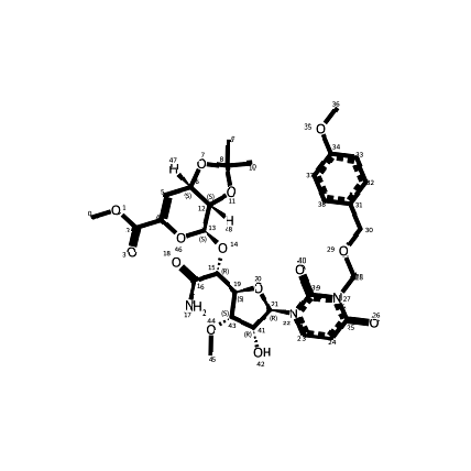 COC(=O)C1=C[C@@H]2OC(C)(C)O[C@@H]2[C@@H](O[C@@H](C(N)=O)[C@H]2O[C@@H](n3ccc(=O)n(COCc4ccc(OC)cc4)c3=O)[C@H](O)[C@@H]2OC)O1